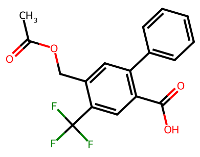 CC(=O)OCc1cc(-c2ccccc2)c(C(=O)O)cc1C(F)(F)F